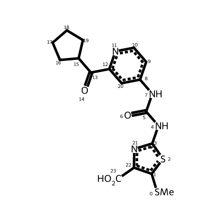 CSc1sc(NC(=O)Nc2ccnc(C(=O)C3CCCC3)c2)nc1C(=O)O